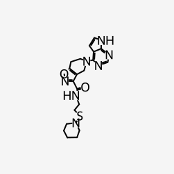 O=C(NCCSN1CCCCC1)c1noc2c1CN(c1ncnc3[nH]ccc13)CC2